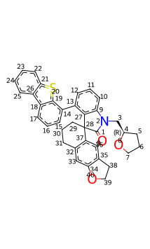 O=C1N(C[C@H]2CCCO2)c2cccc(-c3cccc4c3sc3ccccc34)c2C12CCCc1cc3c(cc12)CCO3